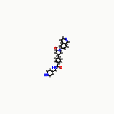 O=C(NCC1CCNCC1)c1ccc(C2CC(=O)N(c3ccc4cnccc4c3)C2)cc1